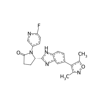 Cc1noc(C)c1-c1ccc2[nH]c([C@@H]3CCC(=O)N3c3ccc(F)nc3)nc2c1